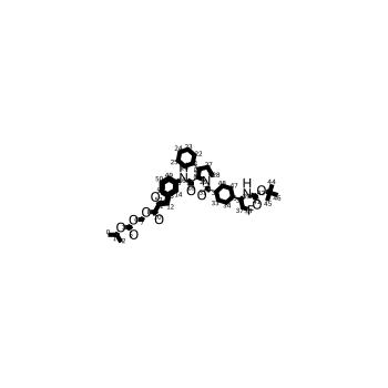 CC(C)OC(=O)OCOC(=O)c1cc2cc(NC(=O)[C@@H]3[C@H](C4CCCCC4)CCN3C(=O)[C@H]3CC[C@H](C(CF)NC(=O)OC(C)(C)C)CC3)ccc2o1